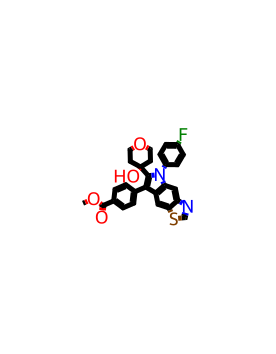 COC(=O)c1ccc(-c2c(C3(O)CCOCC3)n(-c3ccc(F)cc3)c3cc4ncsc4cc23)cc1